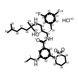 CCNc1cc(C(=O)N[C@@H](Cc2cc(F)cc(F)c2)[C@H](O)CNC(C)(C)CCCC(C)C)cc(N2CCCCS2(=O)=O)c1.Cl